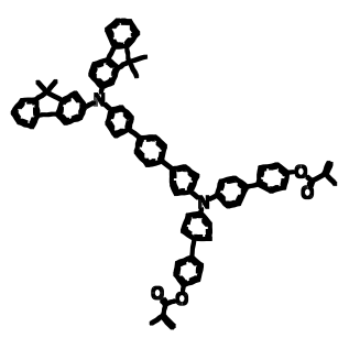 C=C(C)C(=O)Oc1ccc(-c2ccc(N(c3ccc(-c4ccc(OC(=O)C(=C)C)cc4)cc3)c3ccc(-c4ccc(-c5ccc(N(c6ccc7c(c6)C(C)(C)c6ccccc6-7)c6ccc7c(c6)C(C)(C)c6ccccc6-7)cc5)cc4)cc3)cc2)cc1